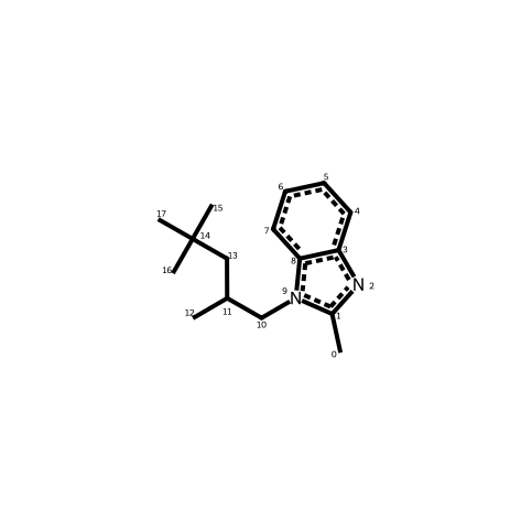 Cc1nc2ccccc2n1CC(C)CC(C)(C)C